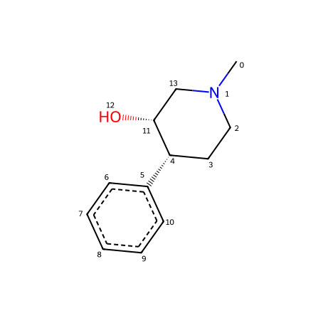 CN1CC[C@H](c2ccccc2)[C@H](O)C1